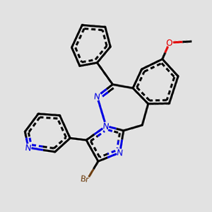 COc1ccc2c(c1)C(c1ccccc1)=Nn1c(nc(Br)c1-c1cccnc1)C2